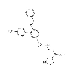 O=C(O)N(CCNC1CC1c1ccc(OCc2ccccc2)c(-c2ccc(C(F)(F)F)cc2)c1)C1CCNC1